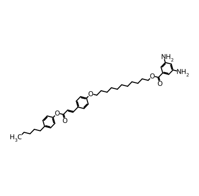 CCCCCc1ccc(OC(=O)/C=C/c2ccc(OCCCCCCCCCCCOC(=O)c3cc(N)cc(N)c3)cc2)cc1